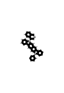 c1ccc(-n2c3ccccc3c3cc4cc5c(cc4cc32)c2ccccc2n5-c2cncc3ccccc23)cc1